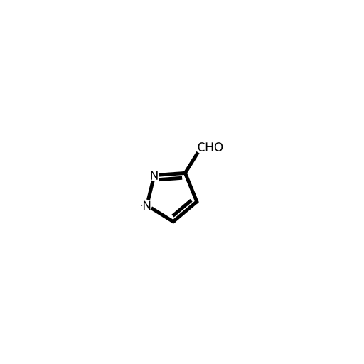 O=CC1=N[N]C=C1